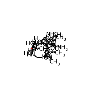 CCCCOC1C(OCCCC)[C@H]2C=C[C@@H]1C(O)NCCN(CC(CCCN)N[C@@H](O)[C@@H]1C=C[C@H]([C@H](O)NCCN)C(OCCCC)C1OCCCC)CCN[C@@H](O)C1C=C[C@@H](C(O)NCCCCCNC2O)C(OCCCC)[C@H]1OCCCC